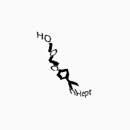 CCCCCCCC(C)c1ccc(OCCOCCO)cc1